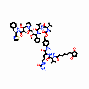 CO[C@H]([C@@H](C)C(=O)N[C@@H](Cc1ccccc1)c1nccs1)[C@@H]1CCCN1C(=O)C[C@@H](OC)[C@H](C1CCCC1)N(C)C(=O)[C@@H](NC(=O)[C@H](C(C)C)N(C)C(=O)OCc1ccc(NC(=O)C(CCCNC(N)=O)NC(=O)[C@@H](NC(=O)CCCCCC2C(=O)C=CC2=O)C(C)C)cc1)C(C)C